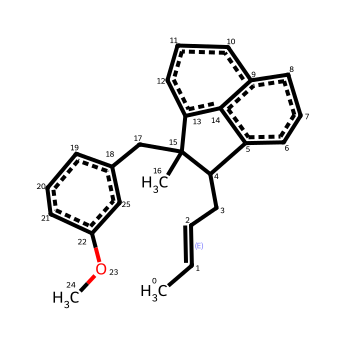 C/C=C/CC1c2cccc3cccc(c23)C1(C)Cc1cccc(OC)c1